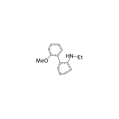 [CH2]CNc1ccccc1-c1ccccc1OC